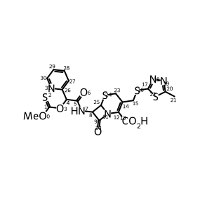 COC(=S)OC(C(=O)NC1C(=O)N2C(C(=O)O)=C(CSc3nnc(C)s3)CSC12)c1ccccn1